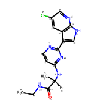 CC[C@@](C)(Nc1ccnc(-c2c[nH]c3ncc(Cl)cc23)n1)C(=O)NCC(F)(F)F